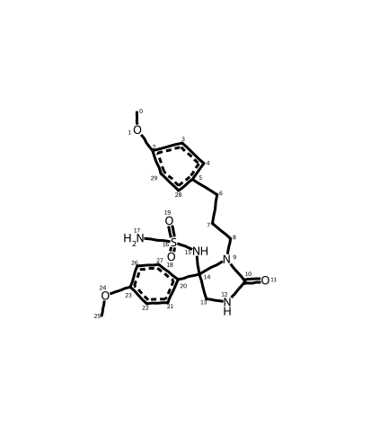 COc1ccc(CCCN2C(=O)NCC2(NS(N)(=O)=O)c2ccc(OC)cc2)cc1